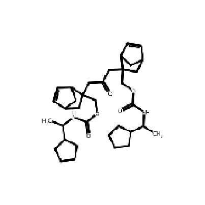 CC(NC(=O)OCC1(CC(=O)CC2(COC(=O)NC(C)C3CCCC3)CC3C=CC2C3)CC2C=CC1C2)C1CCCC1